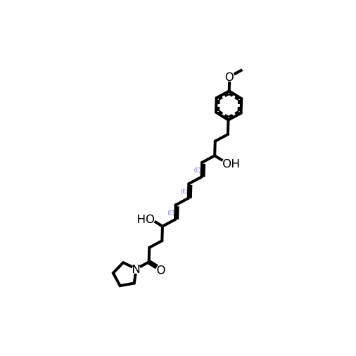 COc1ccc(CCC(O)/C=C/C=C/C=C/C(O)CCC(=O)N2CCCC2)cc1